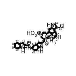 C[N+]1(C(=O)O)C(C(=O)c2cc3cc(NC(=O)c4cc5ccccc5[nH]4)ccc3[nH]2)CN(C(=O)O)CC1c1cc2c(c3ccsc13)[C@H](CCl)CN2